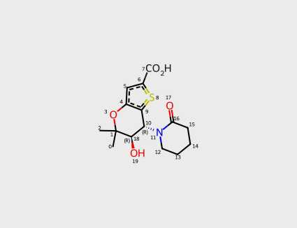 CC1(C)Oc2cc(C(=O)O)sc2[C@H](N2CCCCC2=O)[C@H]1O